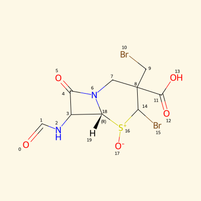 O=CNC1C(=O)N2CC(CBr)(C(=O)O)C(Br)[S+]([O-])[C@H]12